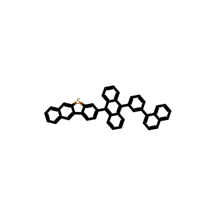 c1cc(-c2cccc3ccccc23)cc(-c2c3ccccc3c(-c3ccc4c(c3)sc3cc5ccccc5cc34)c3ccccc23)c1